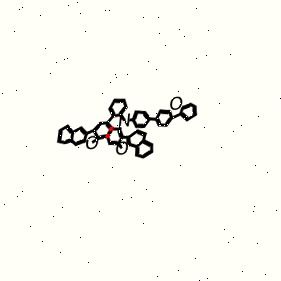 c1ccc(N(c2ccc(-c3ccc4c(c3)oc3ccccc34)cc2)c2cccc3oc4c5ccccc5ccc4c23)c(-c2ccc3oc4cc5ccccc5cc4c3c2)c1